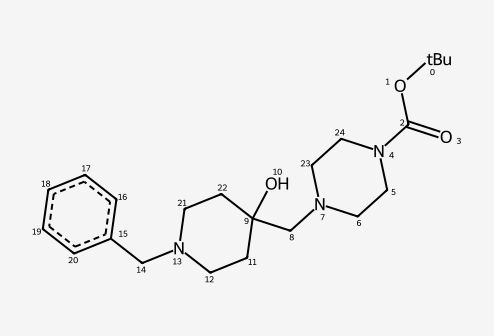 CC(C)(C)OC(=O)N1CCN(CC2(O)CCN(Cc3ccccc3)CC2)CC1